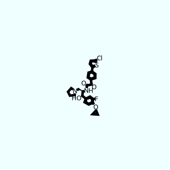 O=C(N[C@H](CN1CCCC1)[C@H](O)c1ccc(OC2CC2)c(F)c1)C(=O)c1ccc(-c2ccc(Cl)s2)cc1